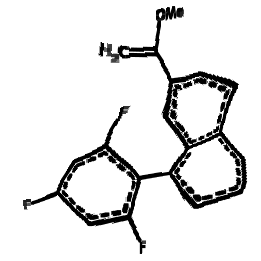 C=C(OC)c1ccc2cccc(-c3c(F)cc(F)cc3F)c2c1